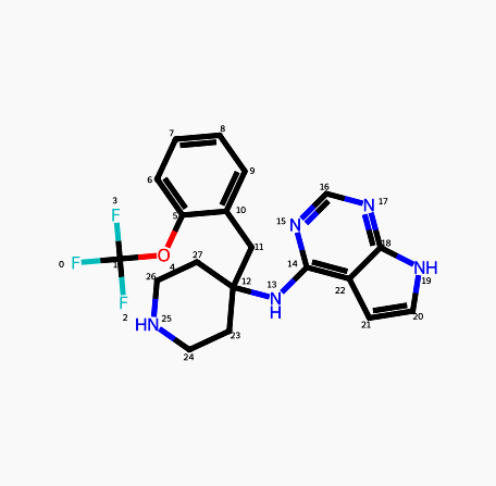 FC(F)(F)Oc1ccccc1CC1(Nc2ncnc3[nH]ccc23)CCNCC1